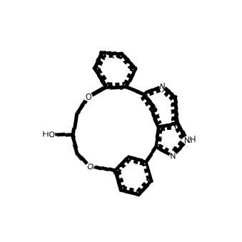 OC1COc2cccc(c2)-c2n[nH]c3cnc(cc23)-c2ccccc2OC1